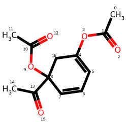 CC(=O)OC1=CC=CC(OC(C)=O)(C(C)=O)C1